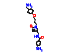 CC(C)(C)C(=O)N(CCCCOc1ccc(CN)cc1)CCCNC(=O)c1ccc(N)cc1